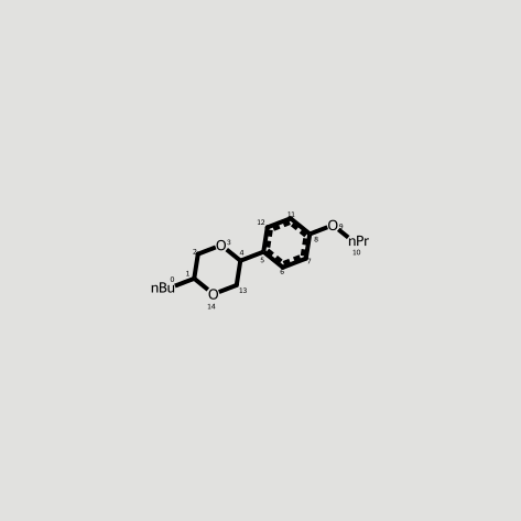 CCCCC1COC(c2ccc(OCCC)cc2)CO1